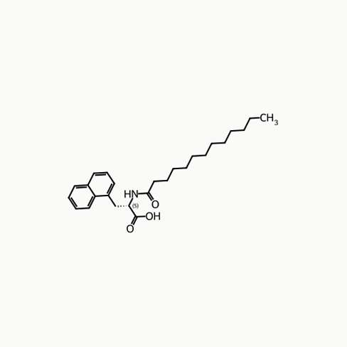 CCCCCCCCCCCCC(=O)N[C@@H](Cc1cccc2ccccc12)C(=O)O